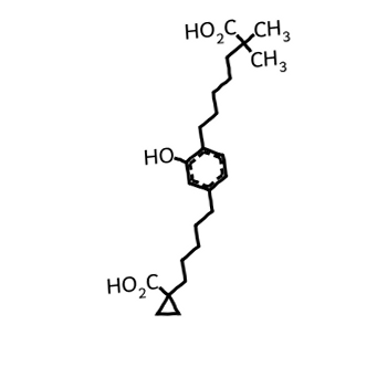 CC(C)(CCCCCc1ccc(CCCCCC2(C(=O)O)CC2)cc1O)C(=O)O